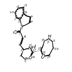 CC(C)C[C@@H](/C=C/C(=O)N1CCc2ccccc21)NC(=O)[C@@H]1CNCCCO1